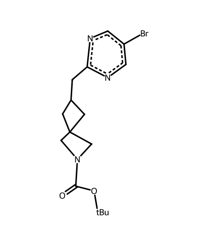 CC(C)(C)OC(=O)N1CC2(CC(Cc3ncc(Br)cn3)C2)C1